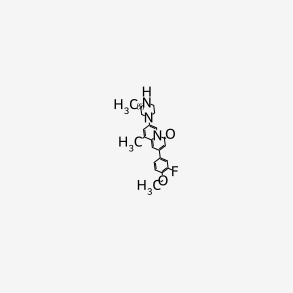 COc1ccc(-c2cc(=O)n3cc(N4CCN[C@@H](C)C4)cc(C)c3c2)cc1F